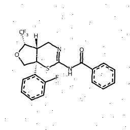 O=C(NC1=NC[C@H]2[C@@H](C(F)(F)F)OC[C@]2(c2ccccc2F)S1)c1ccccc1